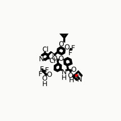 O=C(O)C(F)(F)F.O=C(O[C@@H](Cc1c(Cl)cncc1Cl)c1ccc(OC(F)F)c(OCC2CC2)c1)c1cccc(NC(C(=O)O[C@H]2CN3CCC2CC3)c2ccccc2)c1